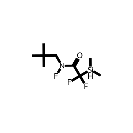 C[SiH](C)C(F)(F)C(=O)N(F)CC(C)(C)C